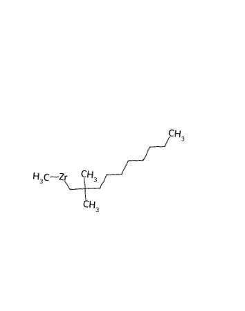 CCCCCCCCC(C)(C)[CH2][Zr][CH3]